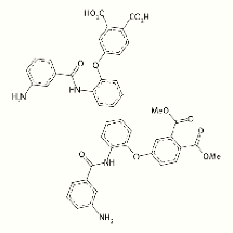 COC(=O)c1ccc(Oc2ccccc2NC(=O)c2cccc(N)c2)cc1C(=O)OC.Nc1cccc(C(=O)Nc2ccccc2Oc2ccc(C(=O)O)c(C(=O)O)c2)c1